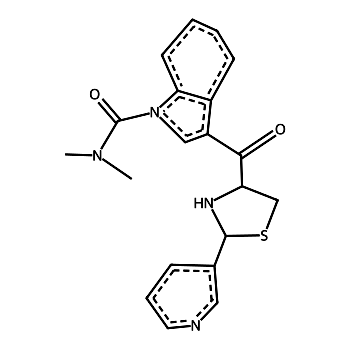 CN(C)C(=O)n1cc(C(=O)C2CSC(c3cccnc3)N2)c2ccccc21